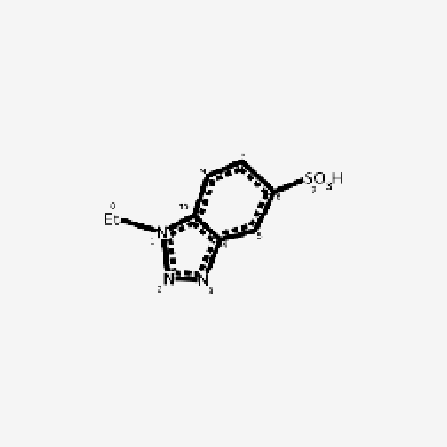 CCn1nnc2cc(S(=O)(=O)O)ccc21